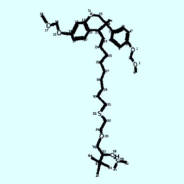 COCOc1ccc(C2(C)CSc3cc(OCOC)ccc3C2CCCCCCCCCSCCOCC(O[SiH](C)C)C(C)(C)C)cc1